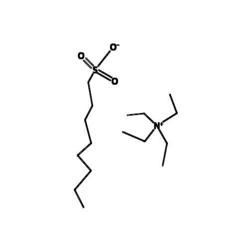 CCCCCCCCS(=O)(=O)[O-].CC[N+](CC)(CC)CC